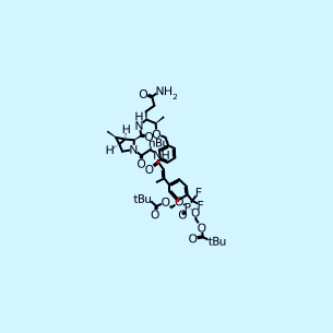 CCCC[C@H](NC(=O)/C=C(\C)c1ccc(C(F)(F)P(=O)(OCOC(=O)C(C)(C)C)OCOC(=O)C(C)(C)C)cc1)C(=O)N1C[C@H]2[C@@H](C)[C@H]2[C@H]1C(=O)N[C@@H](CCC(N)=O)[C@@H](C)OCc1ccccc1